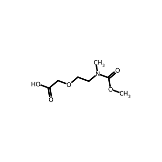 COC(=O)N(C)CCOCC(=O)O